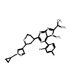 CC(C)c1nc2nc(C3CCOC(c4cnn(C5CC5)c4)C3)nc(-c3ccc(F)cc3F)c2n1C